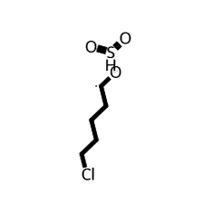 O=[SH](=O)O[CH]CCCCCl